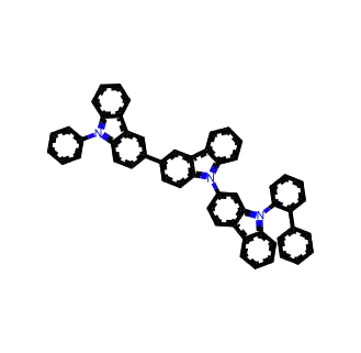 c1ccc(-c2ccccc2-n2c3ccccc3c3ccc(-n4c5ccccc5c5cc(-c6ccc7c(c6)c6ccccc6n7-c6ccccc6)ccc54)cc32)cc1